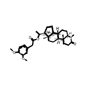 COc1ccc(CC(=O)OC(C)[C@H]2CC[C@H]3[C@@H]4CC[C@H]5N(C)C(=O)CC[C@]5(C)[C@H]4CC[C@]23C)cc1OC